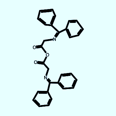 O=C(CN=C(c1ccccc1)c1ccccc1)OC(=O)CN=C(c1ccccc1)c1ccccc1